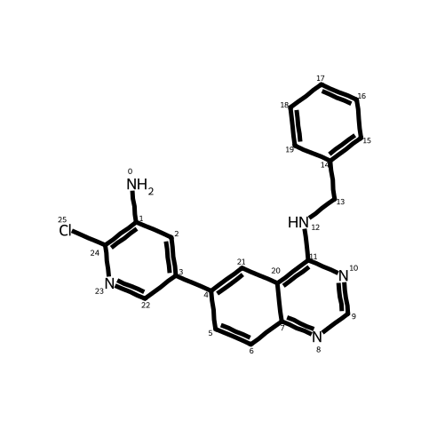 Nc1cc(-c2ccc3ncnc(NCc4ccccc4)c3c2)cnc1Cl